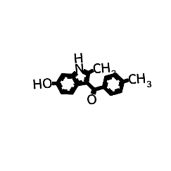 Cc1ccc(C(=O)c2c(C)[nH]c3cc(O)ccc23)cc1